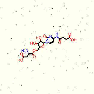 N[C@@H](CC(=O)O)C(=O)OCC1OC(n2ccc(NC(=O)CCC(=O)O)nc2=O)C(O)C1O